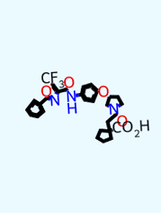 O=C(Nc1ccc(OC2CCN(C(=O)CC3(C(=O)O)CCCC3)C2)cc1)c1nc(-c2ccccc2)oc1C(F)(F)F